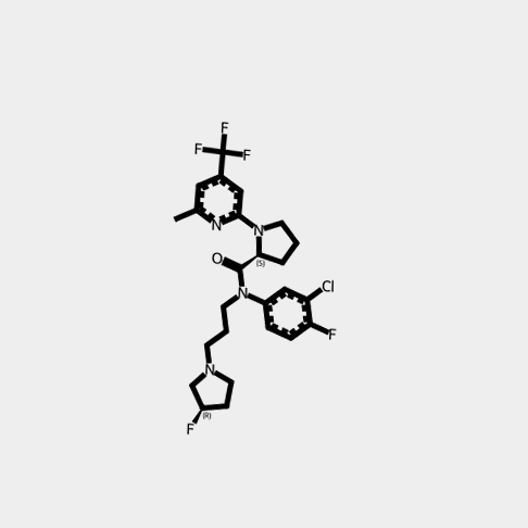 Cc1cc(C(F)(F)F)cc(N2CCC[C@H]2C(=O)N(CCCN2CC[C@@H](F)C2)c2ccc(F)c(Cl)c2)n1